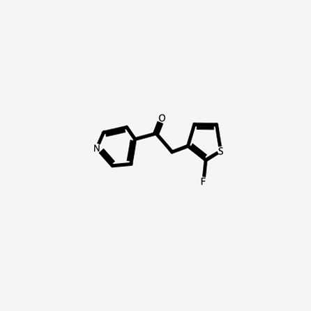 O=C(Cc1ccsc1F)c1ccncc1